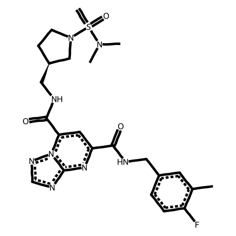 C=S(=O)(N(C)C)N1CC[C@H](CNC(=O)c2cc(C(=O)NCc3ccc(F)c(C)c3)nc3ncnn23)C1